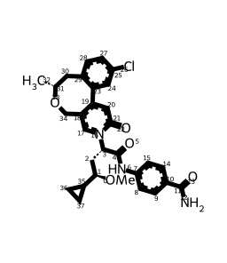 CO[C@H](C[C@@H](C(=O)Nc1ccc(C(N)=O)cc1)n1cc2c(cc1=O)-c1cc(Cl)ccc1C[C@@H](C)OC2)C1CC1